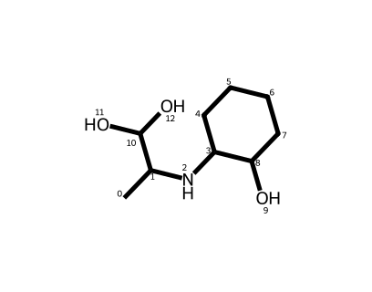 CC(NC1CCCCC1O)C(O)O